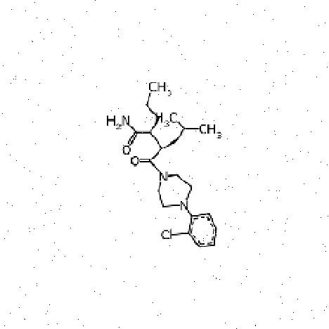 CCC[C@H](C(N)=O)[C@@H](CC(C)C)C(=O)N1CCN(c2ccccc2Cl)CC1